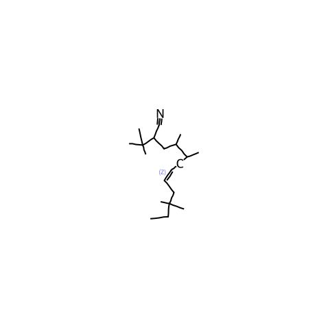 CCC(C)(C)C/C=C\CC(C)C(C)CC(C#N)C(C)(C)C